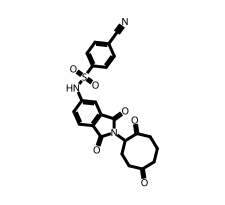 N#Cc1ccc(S(=O)(=O)Nc2ccc3c(c2)C(=O)N(C2CCC(=O)CCCC2=O)C3=O)cc1